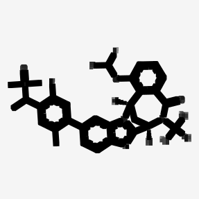 [2H]C([2H])([2H])N1C(=O)c2cccc(OC(F)F)c2[C@H]2C[C@@H]1c1nc3ccc(-c4cc(F)c(C(C)P(C)(C)=O)cc4C)cc3n12